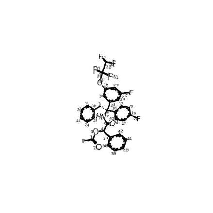 CC(=O)OC(C(=O)N[C@](Cc1ccccc1)(c1ccc(F)cc1)c1cc(F)cc(OC(F)(F)C(F)F)c1)c1ccccc1